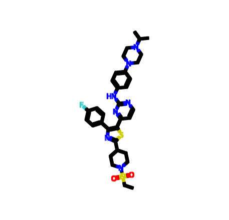 CCS(=O)(=O)N1CCC(c2nc(-c3ccc(F)cc3)c(-c3ccnc(Nc4ccc(N5CCN(C(C)C)CC5)cc4)n3)s2)CC1